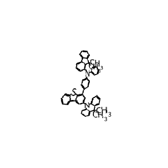 CC1(C)c2ccccc2N(c2cc(-c3ccc(N(c4ccccc4)c4cccc5c4C(C)(C)c4ccccc4-5)cc3)c3sc4ccccc4c3c2)c2ccccc21